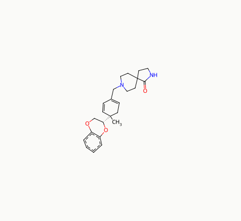 CC1([C@H]2COc3ccccc3O2)C=CC(CN2CCC3(CCNC3=O)CC2)=CC1